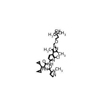 Cc1nn(COCC[Si](C)(C)C)c(C)c1-c1ccc(NC(=O)[C@@H](NC(=O)c2ccnn2C)C(C2CC2)C2CC2)nc1Cl